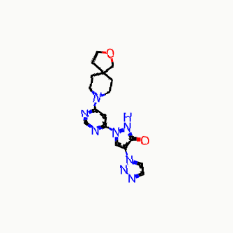 O=c1[nH]n(-c2cc(N3CCC4(CCOC4)CC3)ncn2)cc1-n1ccnn1